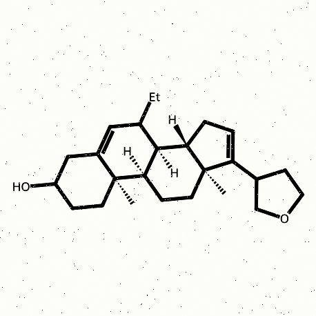 CCC1C=C2CC(O)CC[C@]2(C)[C@@H]2CC[C@]3(C)C(C4CCOC4)=CC[C@H]3[C@H]12